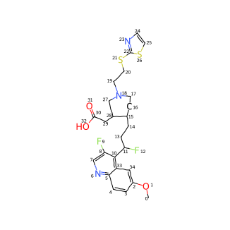 COc1ccc2ncc(F)c(C(F)CCC3CCN(CCSc4nccs4)CC3CC(=O)O)c2c1